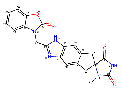 CN1C(=O)NC(=O)C12Cc1cc3nc(Cn4c(=O)oc5ccccc54)[nH]c3cc1C2